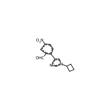 O=Cc1cc([N+](=O)[O-])ccc1-c1cn(C2CCC2)cn1